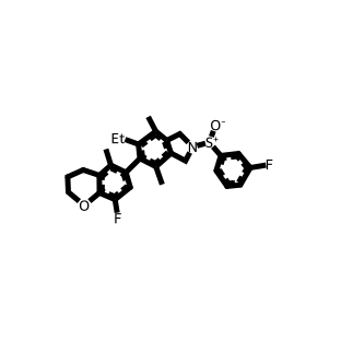 CCc1c(C)c2c(c(C)c1-c1cc(F)c3c(c1C)CCCO3)CN([S+]([O-])c1cccc(F)c1)C2